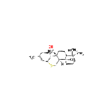 CC1=CC2SC[C@@H]3[C@@]4(C)CCCC(C)(C)[C@@H]4CC[C@@]3(C)C2C(O)=C1